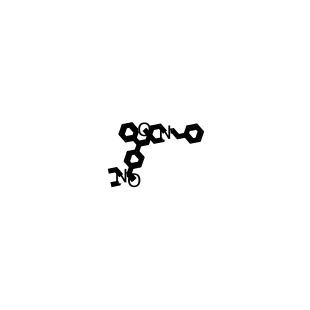 CCN(CC)C(=O)c1ccc(C2=CC3(CCN(CCc4ccccc4)CC3)Oc3ccccc32)cc1